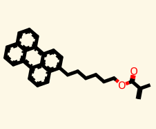 C=C(C)C(=O)OCCCCCCc1ccc2c3cccc4cccc(c5cccc1c52)c43